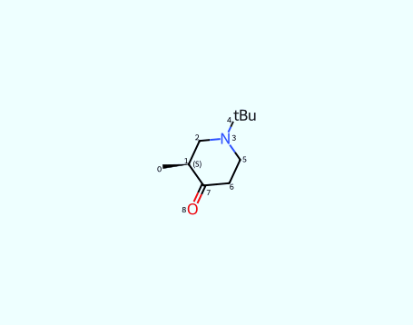 C[C@H]1CN(C(C)(C)C)CCC1=O